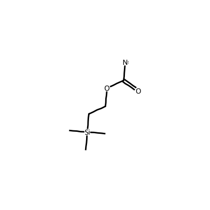 C[Si](C)(C)CCOC([N])=O